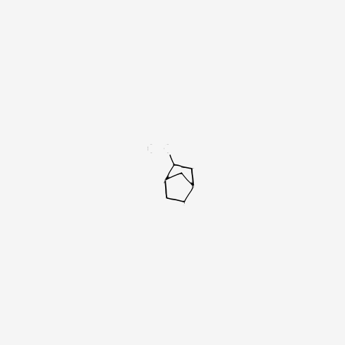 ClC(Cl)(Cl)C1CC2CCC1C2